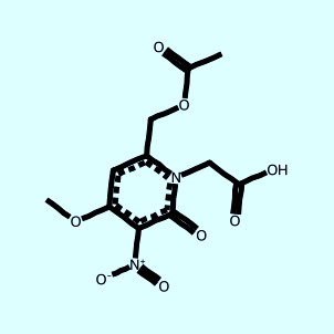 COc1cc(COC(C)=O)n(CC(=O)O)c(=O)c1[N+](=O)[O-]